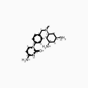 CN(Cc1ccc(-n2ccc(N)nc2=O)cc1)[C@@H]1C[C@H](N)C[C@H](N)C1